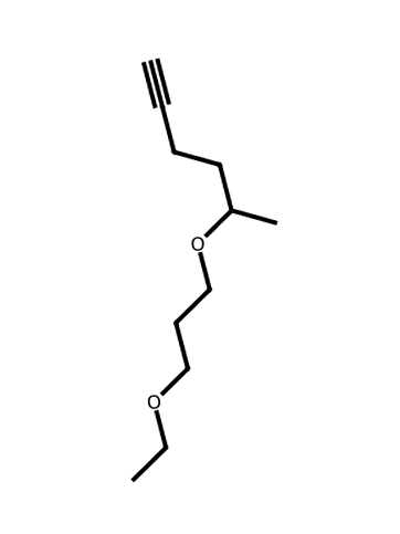 C#CCCC(C)OCCCOCC